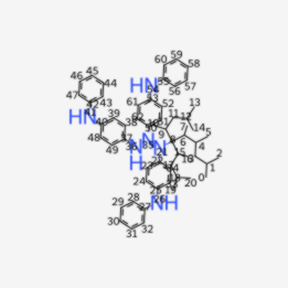 CC(C)CC(C)C(C)C(C(C)CC(C)C)(C(C)CC(C)C)N(c1ccc(Nc2ccccc2)cc1)N(Nc1ccc(Nc2ccccc2)cc1)c1ccc(Nc2ccccc2)cc1